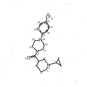 O=C(C1CCCN(C2CC2)C1)N1CCN(c2ccc(C(F)(F)F)cn2)CC1